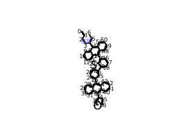 C=C/C=C\C(=C/C)c1c2ccccc2c(-c2cccc3c2sc2ccc(-c4c5ccccc5c(-c5ccoc5)c5ccccc45)cc23)c2ccccc12